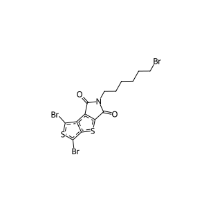 O=C1c2sc3c(Br)sc(Br)c3c2C(=O)N1CCCCCCBr